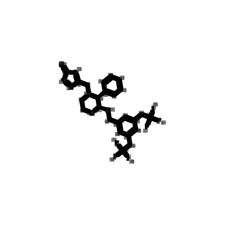 O=C1N=NC(CN2CCO[C@H](OCc3cc(CC(F)(F)F)cc(CC(F)(F)F)c3)[C@@H]2c2ccccc2)=N1